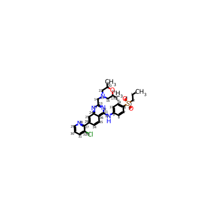 CCCS(=O)(=O)c1ccc(Nc2nc(CN3CC(C)OC(C)C3)nc3cc(-c4ncccc4Cl)ccc23)cc1